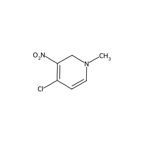 CN1C=CC(Cl)=C([N+](=O)[O-])C1